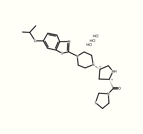 CC(C)Oc1ccc2nc(N3CCN([C@@H]4CN[C@H](C(=O)N5CCSC5)C4)CC3)sc2c1.Cl.Cl.Cl